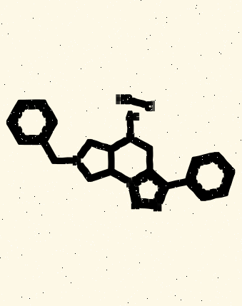 CC(=O)N1Cc2c(-c3ccccc3)nnn2C2CN(Cc3ccccc3)CC21.OCl